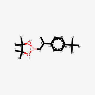 CC(CB1OC(C)(C)C(C)(C)O1)c1ccc(C(C)(C)C)cc1